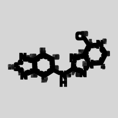 Clc1nccn2nc(Nc3ccc4nsnc4c3)nc12